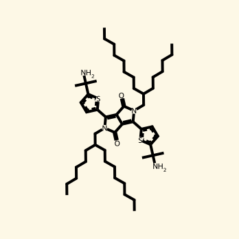 CCCCCCCCC(CCCCCC)CN1C(=O)C2=C(c3ccc(C(C)(C)N)s3)N(CC(CCCCCC)CCCCCCCC)C(=O)C2=C1c1ccc(C(C)(C)N)s1